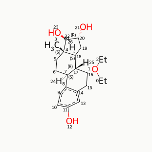 CCOCC.C[C@]12CC[C@@H]3c4ccc(O)cc4CC[C@H]3[C@@H]1C[C@@H](O)[C@@H]2O